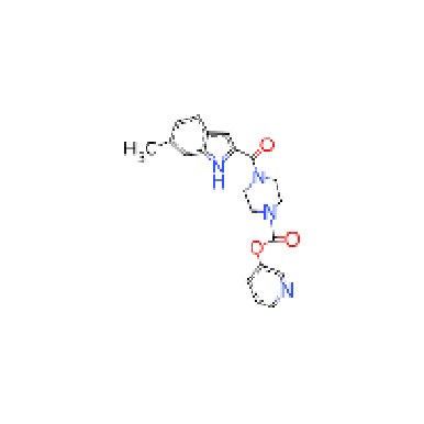 Cc1ccc2cc(C(=O)N3CCN(C(=O)Oc4cccnc4)CC3)[nH]c2c1